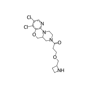 O=C(CCOCC1CCN1)N1CCN2c3ncc(Cl)c(Cl)c3OCC2C1